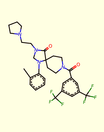 Cc1ccccc1N1CN(CCN2CCCC2)C(=O)C12CCN(C(=O)c1cc(C(F)(F)F)cc(C(F)(F)F)c1)CC2